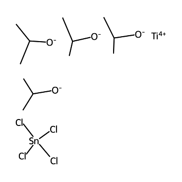 CC(C)[O-].CC(C)[O-].CC(C)[O-].CC(C)[O-].[Cl][Sn]([Cl])([Cl])[Cl].[Ti+4]